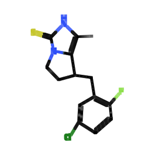 Cc1[nH]c(=S)n2c1C(Cc1cc(Cl)ccc1F)CC2